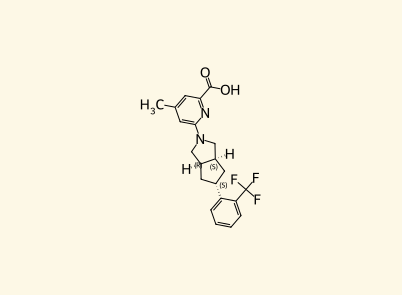 Cc1cc(C(=O)O)nc(N2C[C@H]3C[C@H](c4ccccc4C(F)(F)F)C[C@H]3C2)c1